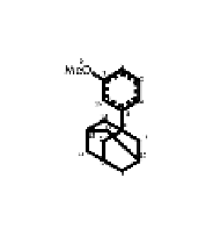 COc1cccc(C23CC4CC(CC(C4)C2)C3)c1